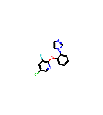 Fc1cc(Cl)cnc1Oc1ccccc1-n1ccnc1